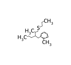 CCCSCC(C)C(CCC)Cc1ccccc1C